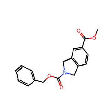 COC(=O)c1ccc2c(c1)CN(C(=O)OCc1ccccc1)C2